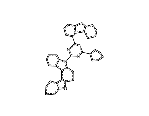 c1ccc(-c2nc(-c3cccc4sc5ccccc5c34)nc(-n3c4ccccc4c4c5c(ccc43)oc3ccccc35)n2)cc1